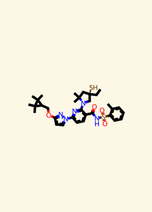 CC[C@]1(S)CN(c2nc(-n3ccc(OCC4C(C)(C)C4(C)C)n3)ccc2C(=O)NS(=O)(=O)c2ccccc2C)C(C)(C)C1